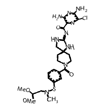 COC(CN(C)Sc1cccc(C(=O)N2CCC3(CC2)CN/C(=N\C(=O)c2nc(Cl)c(N)nc2N)N3)c1)OC